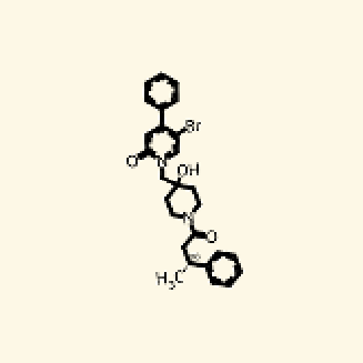 C[C@H](CC(=O)N1CCC(O)(Cn2cc(Br)c(-c3ccccc3)cc2=O)CC1)c1ccccc1